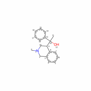 CN1Cc2ccccc2C(C(C)(O)c2ccccc2)C1